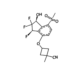 CC1(C#N)CC(Oc2ccc(S(C)(=O)=O)c3c2[C@@H](F)C(F)(F)[C@H]3O)C1